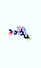 C=CC(=O)N1CC[C@H](Nc2ncc(-c3ccc(C(F)(F)F)cn3)c3ncn(C)c(=O)c23)C1